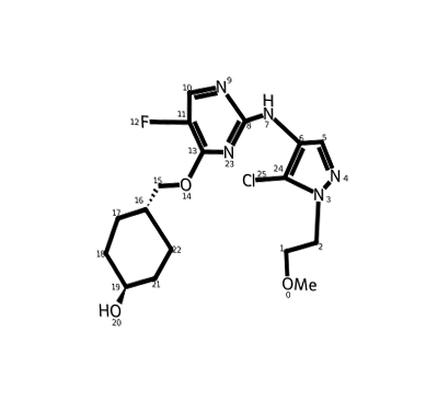 COCCn1ncc(Nc2ncc(F)c(OC[C@H]3CC[C@H](O)CC3)n2)c1Cl